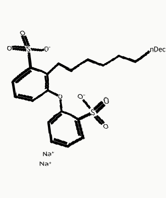 CCCCCCCCCCCCCCCCc1c(Oc2ccccc2S(=O)(=O)[O-])cccc1S(=O)(=O)[O-].[Na+].[Na+]